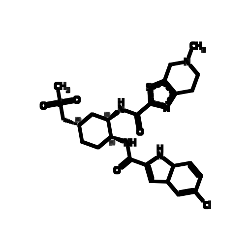 CN1CCc2nc(C(=O)N[C@@H]3C[C@@H](CS(C)(=O)=O)CC[C@@H]3NC(=O)C3=CC4C=C(Cl)C=CC4N3)sc2C1